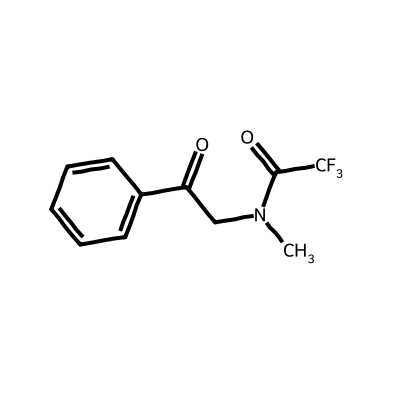 CN(CC(=O)c1ccccc1)C(=O)C(F)(F)F